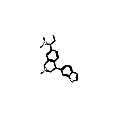 CCC(c1ccc2c(c1)CN(C)CC2c1ccc2ccsc2c1)N(C)C